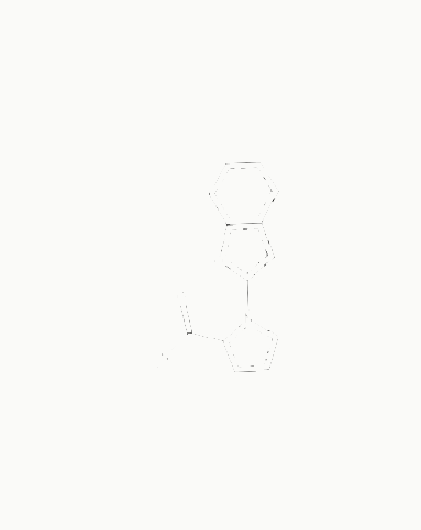 NC(=O)c1cccn1-c1cc2ccccc2o1